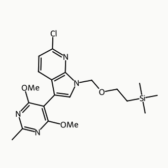 COc1nc(C)nc(OC)c1-c1cn(COCC[Si](C)(C)C)c2nc(Cl)ccc12